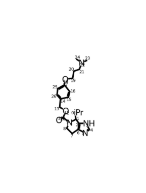 CC(C)C1c2[nH]cnc2CCN1C(=O)OCc1ccc(OCCCN(C)C)cc1